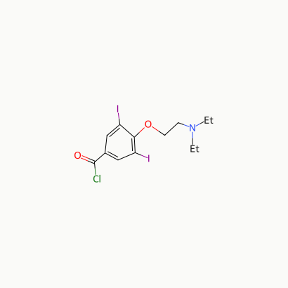 CCN(CC)CCOc1c(I)cc(C(=O)Cl)cc1I